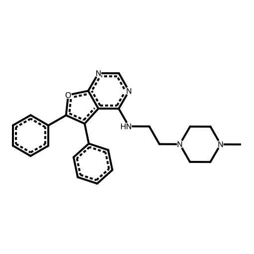 CN1CCN(CCNc2ncnc3oc(-c4ccccc4)c(-c4ccccc4)c23)CC1